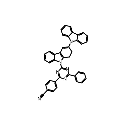 N#Cc1ccc(-c2nc(-c3ccccc3)nc(-n3c4c(c5ccccc53)C=C(n3c5ccccc5c5ccccc53)CC4)n2)cc1